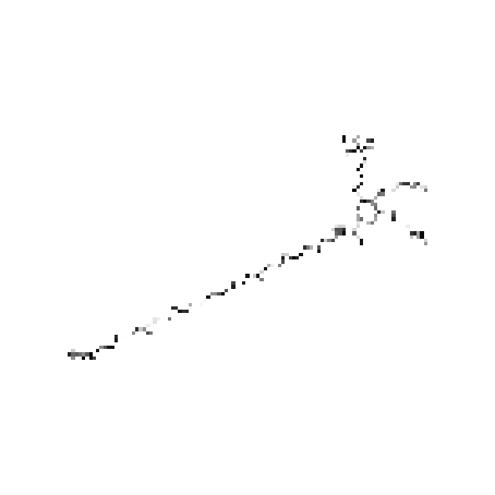 CCCOc1cc(C(=O)NCCOCCOCCOCCOCCOCCOCCOCCOCCN=[N+]=[N-])cc(OCCCS(=O)(=O)O)c1OCCC